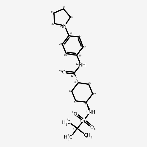 CC(C)(C)S(=O)(=O)N[C@H]1CC[C@H](C(=O)Nc2ccc(N3CCCC3)cc2)CC1